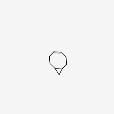 C1=CCCC2C[C]2CC1